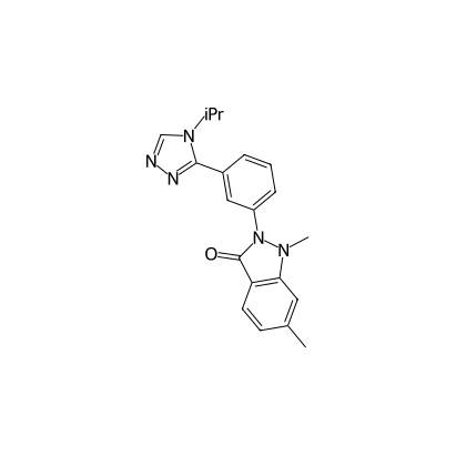 Cc1ccc2c(=O)n(-c3cccc(-c4nncn4C(C)C)c3)n(C)c2c1